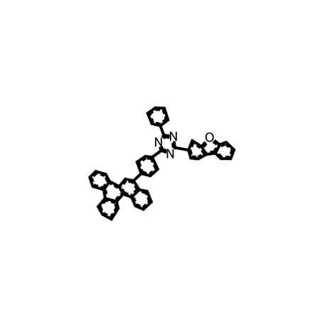 c1ccc(-c2nc(-c3ccc(-c4cc5c6ccccc6c6ccccc6c5c5ccccc45)cc3)nc(-c3ccc4c(c3)oc3ccccc34)n2)cc1